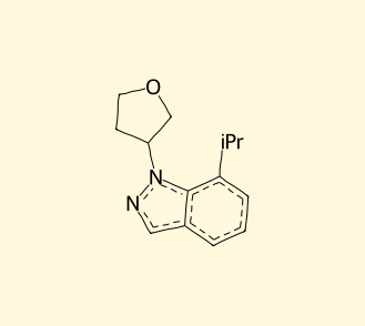 CC(C)c1cccc2cnn(C3CCOC3)c12